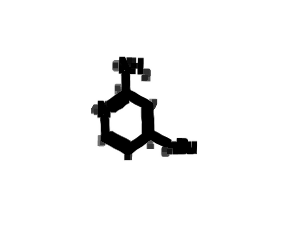 CCCCc1ccnc(N)c1